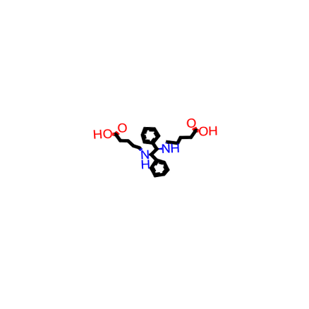 O=C(O)CCCCN[C@H](c1ccccc1)[C@H](NCCCCC(=O)O)c1ccccc1